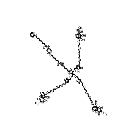 CC(=O)N[C@H]1[C@@H]2OC[C@](COCCOCCOCCOCCN3C=C(COCC(COCc4cn(CCOCCOCCOCCOC[C@@]56CO[C@@H](O5)[C@H](NC(C)=O)[C@@H](O)[C@H]6O)nn4)(COCc4cn(CCOCCOCCOCCOC[C@@]56CO[C@@H](O5)[C@H](NC(C)=O)[C@@H](O)[C@H]6O)nn4)NC(=O)CCCCCNC(=O)CCCCCOC4OCC(NC(=O)CCCCCSSc5ccccn5)CO4)NN3)(O2)[C@H](O)[C@@H]1O